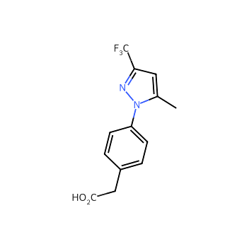 Cc1cc(C(F)(F)F)nn1-c1ccc(CC(=O)O)cc1